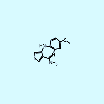 CSc1ccc2c(c1)N=C(N)c1cscc1N2